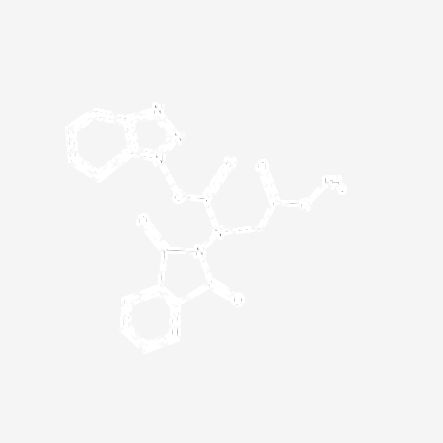 O=C(CN(C(=O)On1nnc2ccccc21)N1C(=O)c2ccccc2C1=O)OP